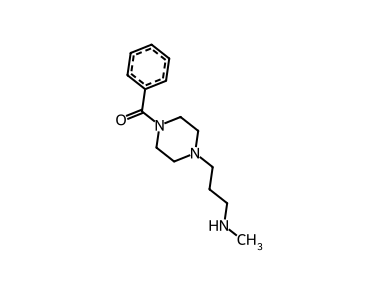 CNCCCN1CCN(C(=O)c2ccccc2)CC1